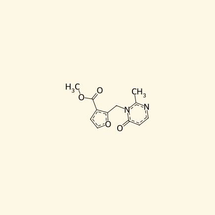 COC(=O)c1ccoc1Cn1c(C)nccc1=O